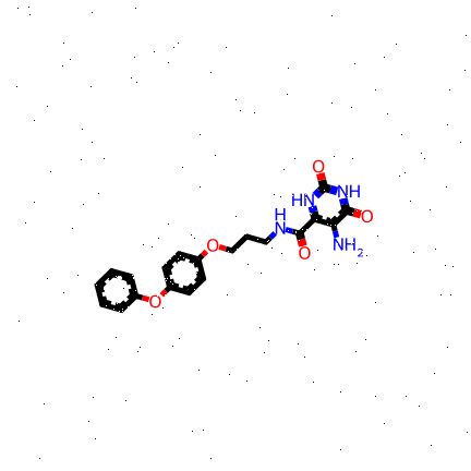 Nc1c(C(=O)NCCCOc2ccc(Oc3ccccc3)cc2)[nH]c(=O)[nH]c1=O